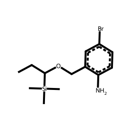 CCC(OCc1cc(Br)ccc1N)[Si](C)(C)C